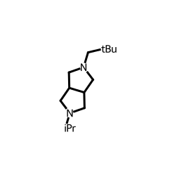 CC(C)N1CC2CN(CC(C)(C)C)CC2C1